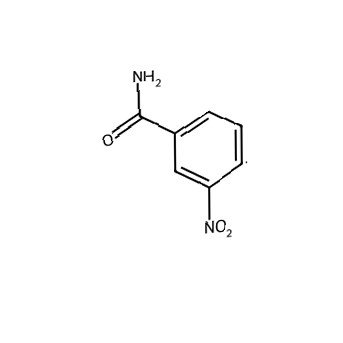 NC(=O)c1cc[c]c([N+](=O)[O-])c1